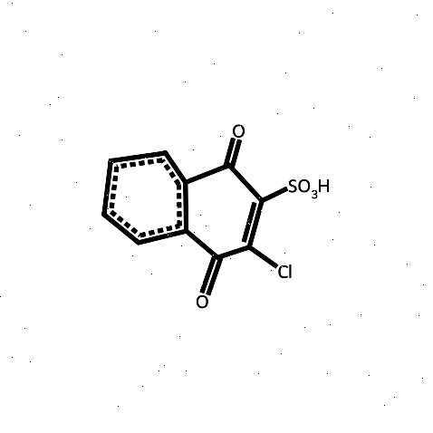 O=C1C(Cl)=C(S(=O)(=O)O)C(=O)c2ccccc21